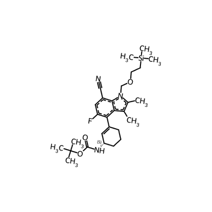 Cc1c(C)n(COCC[Si](C)(C)C)c2c(C#N)cc(F)c(C3=C[C@@H](NC(=O)OC(C)(C)C)CCC3)c12